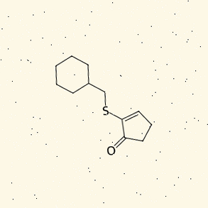 O=C1CCC=C1SCC1CCCCC1